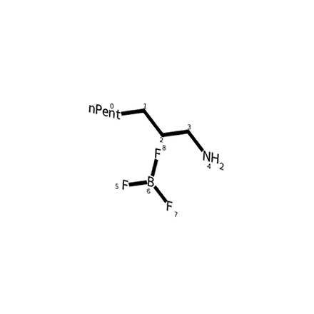 CCCCCCCCN.FB(F)F